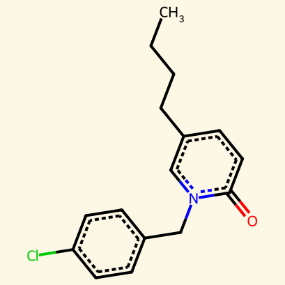 CCCCc1ccc(=O)n(Cc2ccc(Cl)cc2)c1